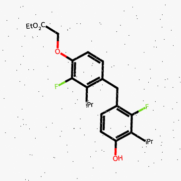 CCOC(=O)COc1ccc(Cc2ccc(O)c(C(C)C)c2F)c(C(C)C)c1F